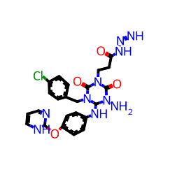 N=NNC(=O)CCN1C(=O)N(N)C(Nc2ccc(OC3N=CC=CN3)cc2)N(Cc2ccc(Cl)cc2)C1=O